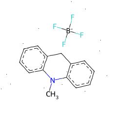 CN1c2ccccc2Cc2ccccc21.F[B-](F)(F)F